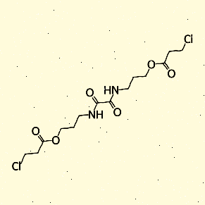 O=C(CCCl)OCCCNC(=O)C(=O)NCCCOC(=O)CCCl